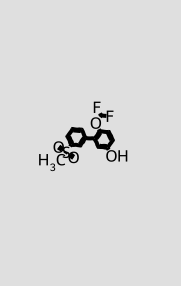 CS(=O)(=O)c1cccc(-c2cc(O)ccc2OC(F)F)c1